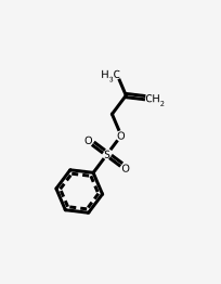 C=C(C)COS(=O)(=O)c1ccccc1